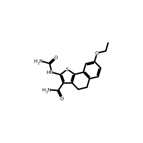 CCOc1ccc2c(c1)-c1sc(NC(N)=O)c(C(N)=O)c1CC2